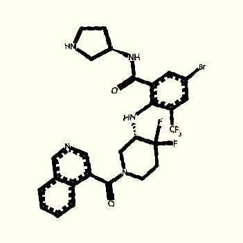 O=C(N[C@@H]1CCNC1)c1cc(Br)cc(C(F)(F)F)c1N[C@H]1CN(C(=O)c2cncc3ccccc23)CCC1(F)F